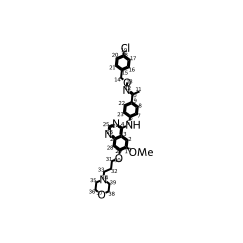 COc1cc2c(Nc3ccc(C(C)=NOCc4ccc(Cl)cc4)cc3)ncnc2cc1OCCCN1CCOCC1